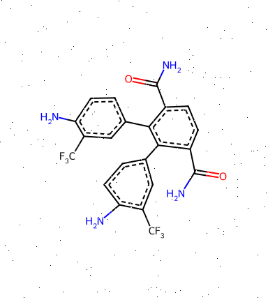 NC(=O)c1ccc(C(N)=O)c(-c2ccc(N)c(C(F)(F)F)c2)c1-c1ccc(N)c(C(F)(F)F)c1